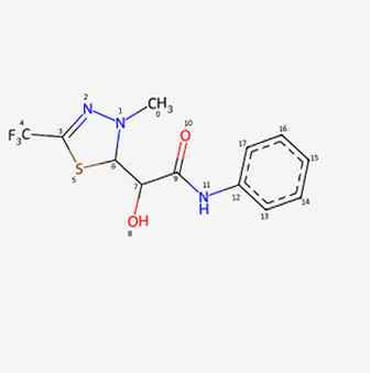 CN1N=C(C(F)(F)F)SC1C(O)C(=O)Nc1ccccc1